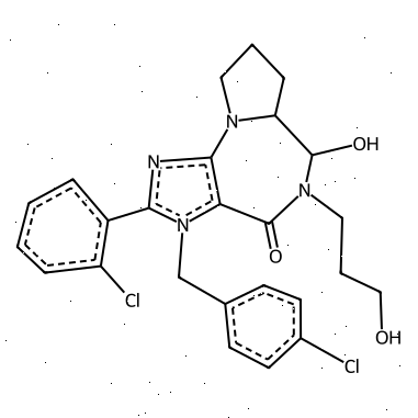 O=C1c2c(nc(-c3ccccc3Cl)n2Cc2ccc(Cl)cc2)N2CCCC2C(O)N1CCCO